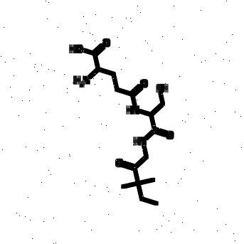 CCC(C)(C)C(=O)CNC(=O)C(CS)NC(=O)CCC(N)C(=O)O